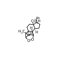 CC1=CC2OOC1C[C@]1(C)CC[C@]3(C(=O)O)[C@@H](C(C)C)CC[C@H]3[C@H]21